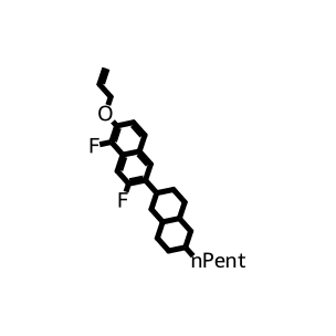 C=CCOc1ccc2cc(C3CCC4CC(CCCCC)CCC4C3)c(F)cc2c1F